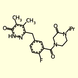 Cc1c(Cc2ccc(F)c(C(=O)N3CCN(C(C)C)C(=O)C3)c2)n[nH]c(=O)c1C